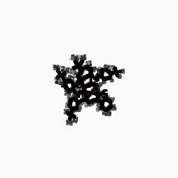 CC(C)(C)c1ccc(N2c3ccc(C(C)(C)C)cc3B3c4cc(C(C)(C)C)ccc4N(c4ccc(C(C)(C)C)cc4-c4ccc5sc6ccccc6c5c4)c4cccc2c43)cc1